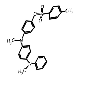 Cc1ccc(S(=O)(=O)Oc2ccc(N(C)c3ccc(N(C)c4ccccc4)cc3)cc2)cc1